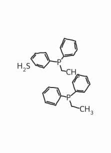 CCP(c1ccccc1)c1ccccc1.CCP(c1ccccc1)c1ccccc1.S